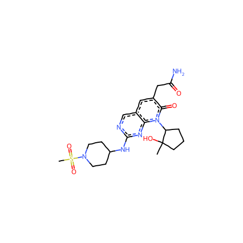 CC1(O)CCCC1n1c(=O)c(CC(N)=O)cc2cnc(NC3CCN(S(C)(=O)=O)CC3)nc21